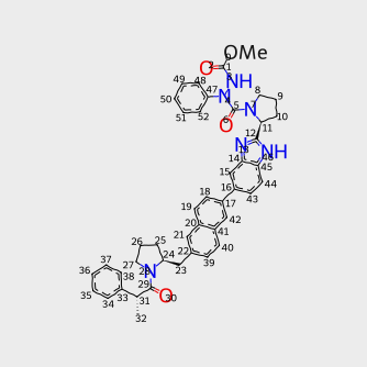 COC(=O)NN(C(=O)N1CCC[C@H]1c1nc2cc(-c3ccc4cc(C[C@@H]5CCCN5C(=O)[C@H](C)c5ccccc5)ccc4c3)ccc2[nH]1)c1ccccc1